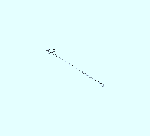 O=C(O)C(=O)CCCCCCCCCCCCCCCCCCCCCCCCCCCCCCCl